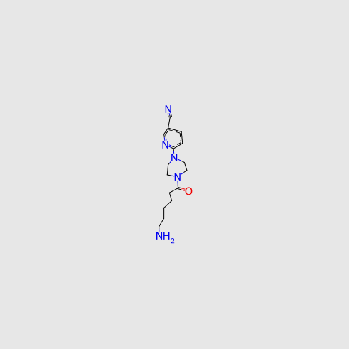 N#Cc1ccc(N2CCN(C(=O)CCCCCN)CC2)nc1